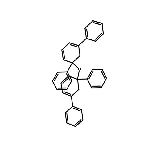 C1=CC(OC2(c3ccccc3)C=CC=C(c3ccccc3)C2)(c2ccccc2)CC(c2ccccc2)=C1